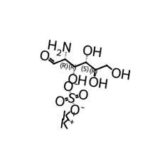 N[C@@H](C=O)[C@@H](O)[C@H](O)[C@H](O)CO.O=S(=O)([O-])[O-].[K+].[K+]